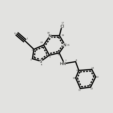 C#Cc1csc2c(NCc3ccccc3)nc(Cl)nc12